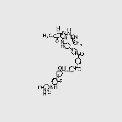 CCOC(=O)c1c(C)nc(Nc2cnn(C)c2)nc1NC1CCC(N2CCN(C(=O)C3CCC(C(=O)N4CCC(CCC5(O)CCN(c6ccc(NC7CCC(=O)NC7=O)cc6F)CC5)CC4)CC3)CC2)CC1